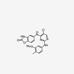 COc1cc(Nc2ncc(Cl)c(Nc3ccc4oc(=O)[nH]c4c3)n2)ccc1C